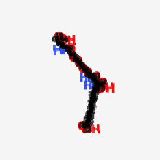 C[C@@H](CCCCNC(=O)CCOCCOCCOCCOCCNC(=O)CC[C@H](NC(=O)CCCCCCCCCCCCCCCCC(=O)O)C(=O)O)C(=O)O